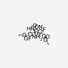 C=CCOC(=O)OCc1c(F)c(N(C)C)c2c(=O)c(NC(C)=O)c(-c3ccc(C(=O)OCC=C)c(F)c3N)oc2c1F